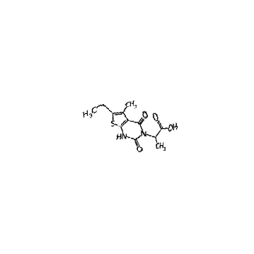 CCc1sc2[nH]c(=O)n(C(C)C(=O)O)c(=O)c2c1C